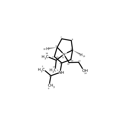 CC(C)NC1C[C@H]2CC[C@@H](C1)[N+]2(CCO)C(C)C